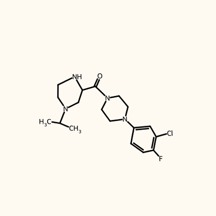 CC(C)N1CCNC(C(=O)N2CCN(c3ccc(F)c(Cl)c3)CC2)C1